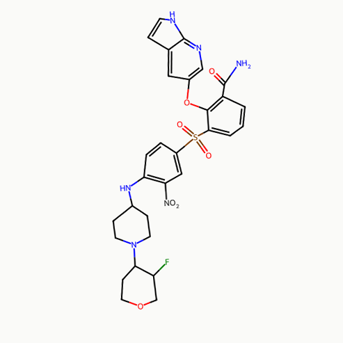 NC(=O)c1cccc(S(=O)(=O)c2ccc(NC3CCN(C4CCOCC4F)CC3)c([N+](=O)[O-])c2)c1Oc1cnc2[nH]ccc2c1